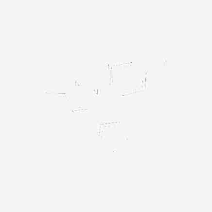 Cc1cc(-c2ccco2)n(-c2ccc(Cl)cn2)n1